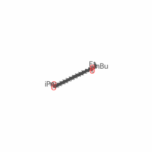 CCCCC(CC)COC(=O)CCCCCCCCCCCCCCCCCCCCCCC(=O)OC(C)C